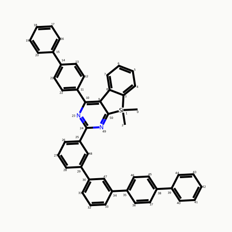 C[Si]1(C)c2ccccc2-c2c(-c3ccc(-c4ccccc4)cc3)nc(-c3cccc(-c4cccc(-c5ccc(-c6ccccc6)cc5)c4)c3)nc21